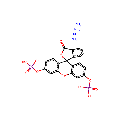 N.N.N.N.O=C1OC2(c3ccc(OP(=O)(O)O)cc3Oc3cc(OP(=O)(O)O)ccc32)c2ccccc21